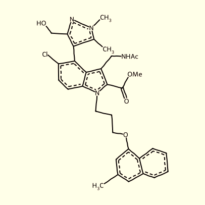 COC(=O)c1c(CNC(C)=O)c2c(-c3c(CO)nn(C)c3C)c(Cl)ccc2n1CCCOc1cc(C)cc2ccccc12